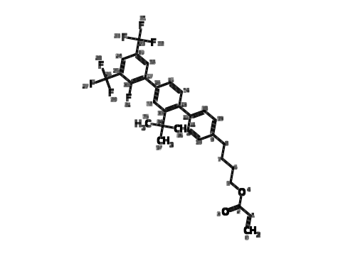 C=CC(=O)OCCCCc1ccc(-c2ccc(-c3cc(C(F)(F)F)cc(C(F)(F)F)c3F)cc2C(C)(C)C)cc1